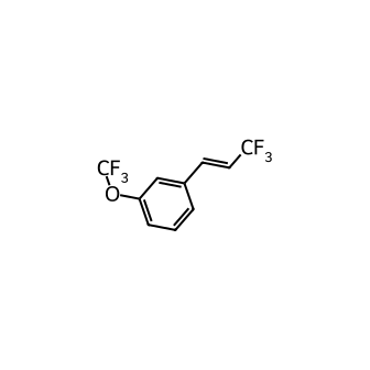 FC(F)(F)C=Cc1cccc(OC(F)(F)F)c1